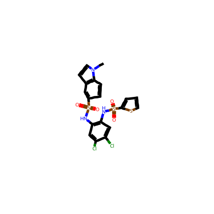 Cn1ccc2cc(S(=O)(=O)Nc3cc(Cl)c(Cl)cc3NS(=O)(=O)c3cccs3)ccc21